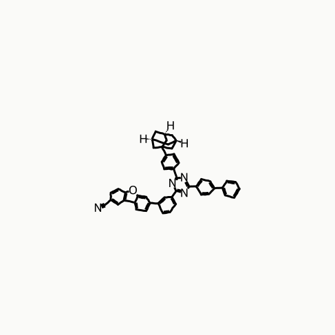 N#Cc1ccc2oc3cc(-c4cccc(-c5nc(-c6ccc(-c7ccccc7)cc6)nc(-c6ccc(C78C[C@H]9C[C@H](C7)C[C@@H](C8)C9)cc6)n5)c4)ccc3c2c1